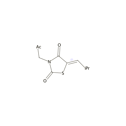 CC(=O)CN1C(=O)S/C(=C\C(C)C)C1=O